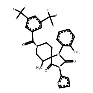 Cc1ccccc1N1C(=O)N(c2cccs2)C(=O)C12CCN(C(=O)c1cc(C(F)(F)F)cc(C(F)(F)F)c1)CC2C